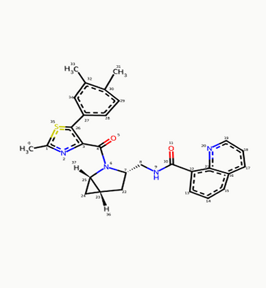 Cc1nc(C(=O)N2[C@H](CNC(=O)c3cccc4cccnc34)C[C@@H]3C[C@@H]32)c(-c2ccc(C)c(C)c2)s1